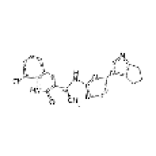 C[C@H](Nc1nccc(-n2cnc3c2CCC3)n1)c1cc2cccc(Cl)c2[nH]c1=O